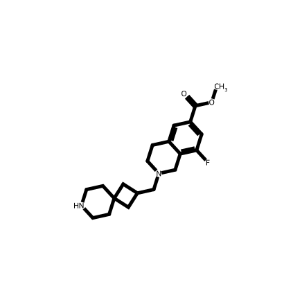 COC(=O)c1cc(F)c2c(c1)CCN(CC1CC3(CCNCC3)C1)C2